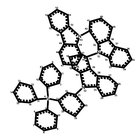 c1ccc(S(c2ccccc2)(c2ccccc2)c2cccc(-n3c4ccccc4c4c(-n5c6ccccc6c6cccc(-n7c8ccccc8c8ccccc87)c65)cccc43)c2)cc1